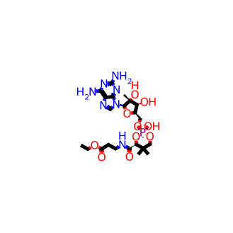 CCOC(=O)CCNC(=O)[C@@H]1O[P](O)(OC[C@H]2O[C@@H](n3cnc4c(N)nc(N)nc43)[C@](C)(O)[C@@H]2O)OCC1(C)C